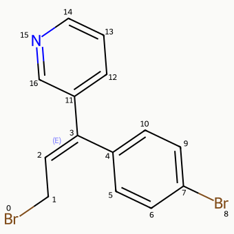 BrC/C=C(\c1ccc(Br)cc1)c1cccnc1